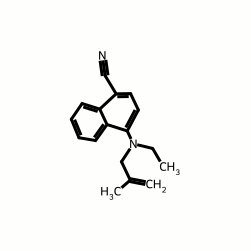 C=C(C)CN(CC)c1ccc(C#N)c2ccccc12